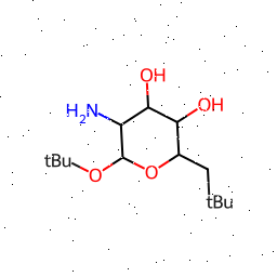 CC(C)(C)CC1OC(OC(C)(C)C)C(N)C(O)C1O